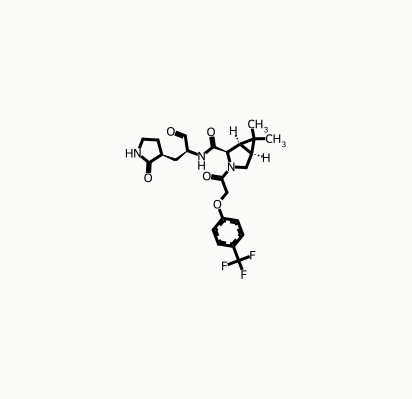 CC1(C)[C@@H]2[C@H](C(=O)N[C@H](C=O)C[C@@H]3CCNC3=O)N(C(=O)COc3ccc(C(F)(F)F)cc3)C[C@@H]21